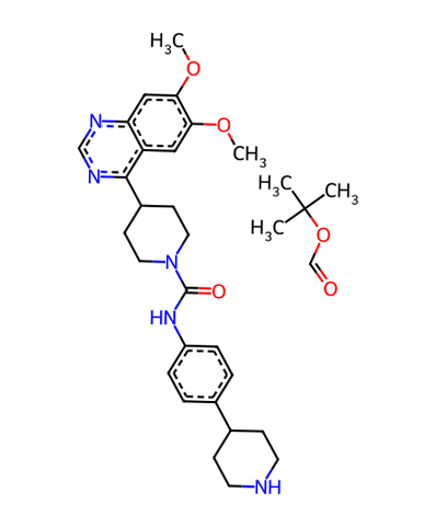 CC(C)(C)OC=O.COc1cc2ncnc(C3CCN(C(=O)Nc4ccc(C5CCNCC5)cc4)CC3)c2cc1OC